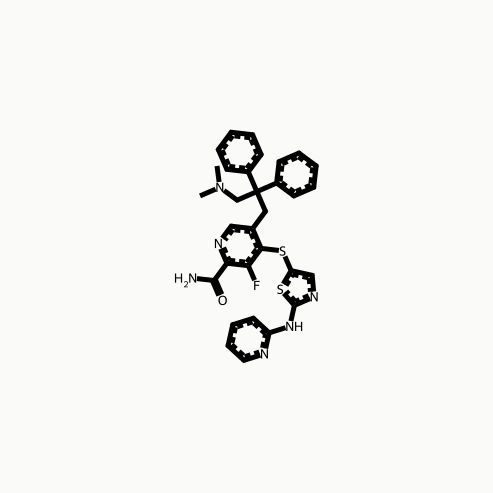 CN(C)CC(Cc1cnc(C(N)=O)c(F)c1Sc1cnc(Nc2ccccn2)s1)(c1ccccc1)c1ccccc1